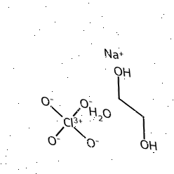 O.OCCO.[Na+].[O-][Cl+3]([O-])([O-])[O-]